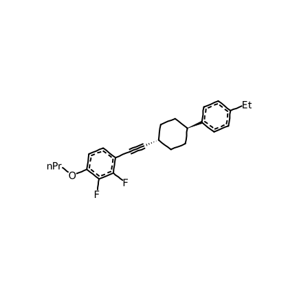 CCCOc1ccc(C#C[C@H]2CC[C@H](c3ccc(CC)cc3)CC2)c(F)c1F